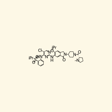 CC(C)Oc1cc2c(cc1Nc1ncc(Cl)c(Nc3ccccc3S(=O)(=O)C(C)C)n1)C(=O)N(C1CCN(C(=O)[C@@H]3CCCN3C)CC1)C2